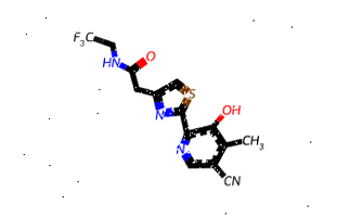 Cc1c(C#N)cnc(-c2nc(CC(=O)NCC(F)(F)F)cs2)c1O